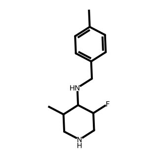 Cc1ccc(CNC2C(C)CNCC2F)cc1